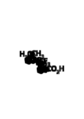 CN(C)CCN(Cc1ccccc1)C(=O)CN(C(=O)C(F)(F)F)c1cccc2c1CN(C(=O)O)C2